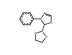 C1=NN(c2ccccc2)C(B2OCCO2)O1